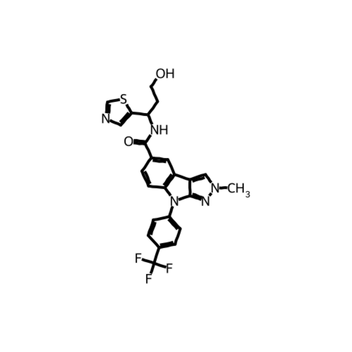 Cn1cc2c3cc(C(=O)NC(CCO)c4cncs4)ccc3n(-c3ccc(C(F)(F)F)cc3)c2n1